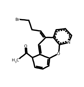 CC(=O)C1C=CC=C2Oc3ncccc3C(=CCCBr)C=C21